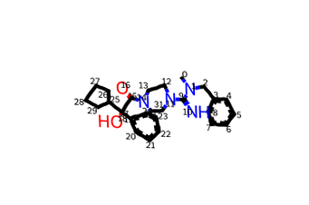 CN(Cc1ccccc1)C(=N)N1CCN(C(=O)C(O)(c2ccccc2)C2CCCC2)CC1